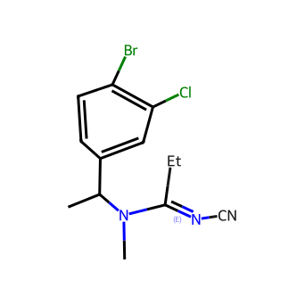 CC/C(=N\C#N)N(C)C(C)c1ccc(Br)c(Cl)c1